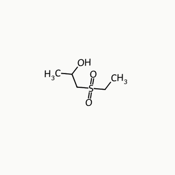 CCS(=O)(=O)CC(C)O